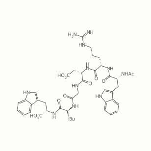 CC[C@H](C)[C@H](NC(=O)CNC(=O)[C@H](CC(=O)O)NC(=O)[C@H](CCCNC(=N)N)NC(=O)[C@@H](Cc1c[nH]c2ccccc12)NC(C)=O)C(=O)N[C@@H](Cc1c[nH]c2ccccc12)C(=O)O